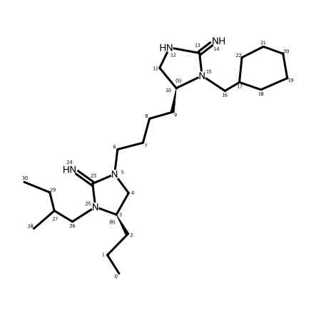 CCC[C@@H]1CN(CCCC[C@H]2CNC(=N)N2CC2CCCCC2)C(=N)N1CC(C)CC